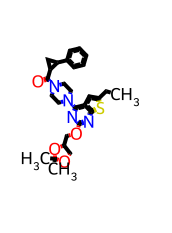 CCc1cc2c(N3CCN(C(=O)C4CC4c4ccccc4)CC3)nc(OCC3COC(C)(C)O3)nc2s1